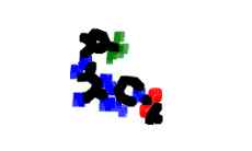 Cc1ccc(C(F)(F)F)cc1Cn1cc(-c2nn([C@H]3CCCN(C(=O)OC(C)(C)C)CC3)c(N)c2C#N)cn1